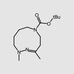 C/C1=N\N(C)CCCCN(C(=O)OC(C)(C)C)CC1